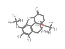 [2H]c1c([2H])c(OC([2H])([2H])[2H])c2c3c1C[C@]1([2H])[C@@H]4CCC(=O)C(O2)[C@]34CCN1C([2H])([2H])[2H]